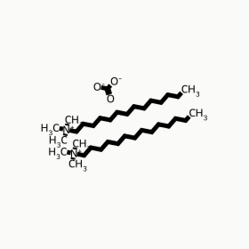 CCCCCCCCCCCCCC[N+](C)(C)C.CCCCCCCCCCCCCC[N+](C)(C)C.O=C([O-])[O-]